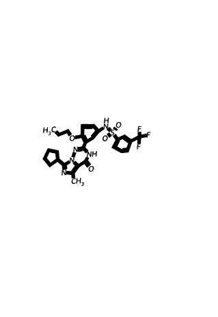 CCCOc1ccc(NS(=O)(=O)c2cccc(C(F)(F)F)c2)cc1-c1nn2c(C3CCCC3)nc(C)c2c(=O)[nH]1